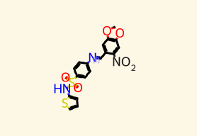 O=[N+]([O-])c1cc2c(cc1/C=N/c1ccc(S(=O)(=O)Nc3cccs3)cc1)OCO2